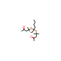 CCCCC(CC)(SC(C)(C)CC(C)=O)SC(C)(C)CC(C)=O